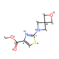 COC(=O)c1csc(N2CC3(COC3)C2)n1